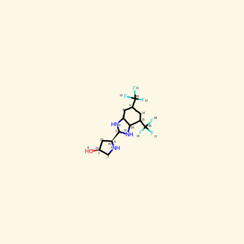 O[C@@H]1CN[C@H](C2NC3CC(C(F)(F)F)CC(C(F)(F)F)C3N2)C1